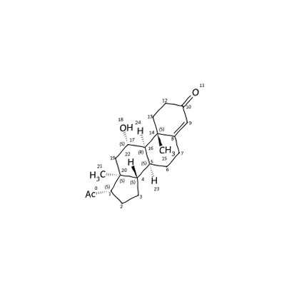 CC(=O)[C@H]1CC[C@H]2[C@@H]3CCC4=CC(=O)CC[C@@]4(C)[C@@H]3[C@@H](O)C[C@]12C